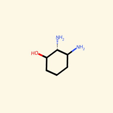 NC1CCCC(O)[C@@H]1N